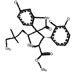 CC(=O)OCC(C)(C)C[C@@H]1NC(C(=O)OC(C)(C)C)[C@@H](c2cccc(Cl)c2F)C12C(=O)Nc1cc(Cl)ccc12